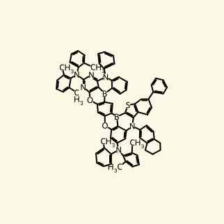 Cc1ccccc1N(c1cc2c3c(c1)N(c1ccc4c(c1)CCCC4)c1c(sc4cc(-c5ccccc5)ccc14)B3c1cc3c(cc1O2)Oc1nc(N(c2ccccc2C)c2c(C)cccc2C)nc2c1B3c1ccccc1N2c1ccccc1)c1c(C)cccc1C